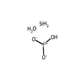 O.[O-][I+2]([O-])O.[SrH2]